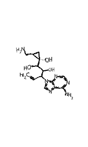 C=CC(C(O)C(O)[C@]1(O)C[C@@H]1CN)n1cnc2c(N)ncnc21